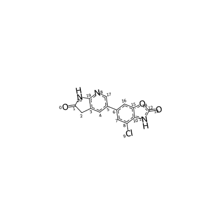 O=C1Cc2cc(-c3cc(Cl)c4[nH]c(=O)oc4c3)cnc2N1